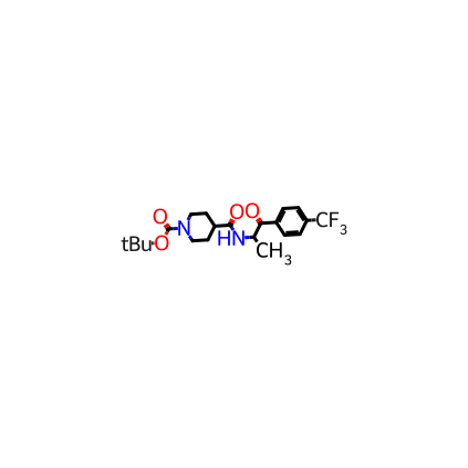 CC(NC(=O)C1CCN(C(=O)OC(C)(C)C)CC1)C(=O)c1ccc(C(F)(F)F)cc1